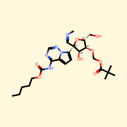 CCCCCOC(=O)Nc1ncnn2c([C@]3(/C=N\C)O[C@H](CO)[C@@H](OCOC(=O)C(C)(C)C)[C@H]3O)ccc12